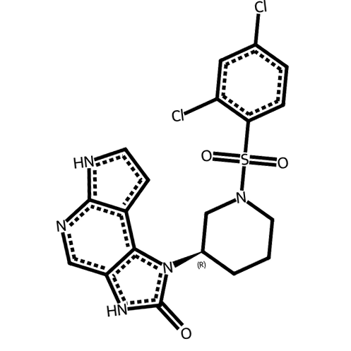 O=c1[nH]c2cnc3[nH]ccc3c2n1[C@@H]1CCCN(S(=O)(=O)c2ccc(Cl)cc2Cl)C1